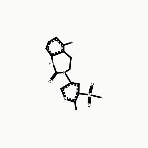 Cc1ncc(N2CCc3c(F)cccc3NC2=O)cc1S(C)(=O)=O